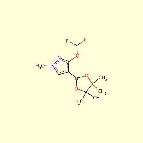 Cn1cc(B2OC(C)(C)C(C)(C)O2)c(OC(F)F)n1